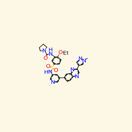 CCOc1ccc(S(=O)(=O)Nc2cncc(-c3ccc4ncc(-c5cnn(C)c5)nc4c3)c2)cc1NC(=O)N1CCCC1